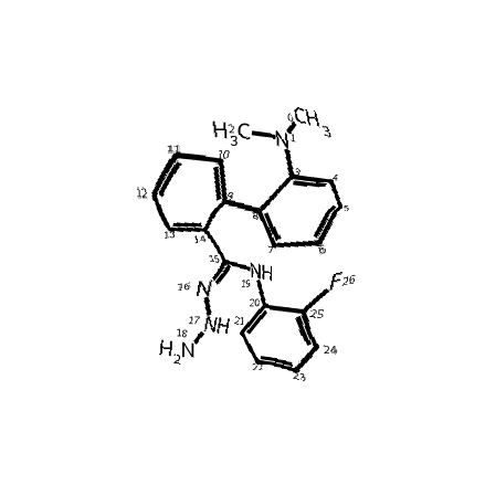 CN(C)c1ccccc1-c1ccccc1/C(=N/NN)Nc1ccccc1F